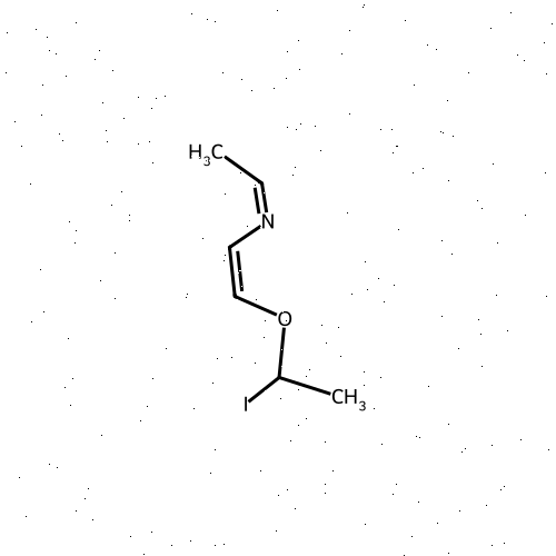 C/C=N\C=C/OC(C)I